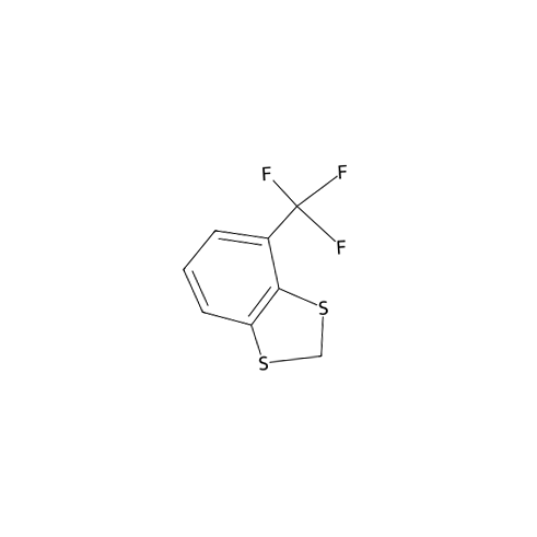 FC(F)(F)c1cccc2c1SCS2